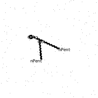 CCCCCC=CCC=CCCCCCCCCOCC(CCOCCN1CCN(C)CC1)OCCCCCCCCC=CCC=CCCCCC